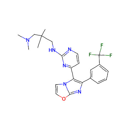 CN(C)CC(C)(C)CNc1nccc(-c2c(-c3cccc(C(F)(F)F)c3)nc3occn23)n1